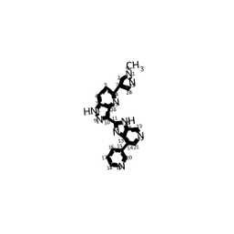 Cn1cc(-c2ccc3[nH]nc(-c4nc5c(-c6cccnc6)cncc5[nH]4)c3n2)cn1